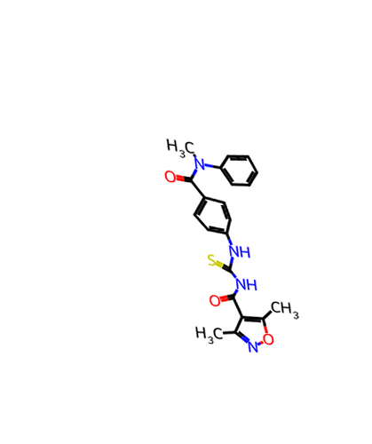 Cc1noc(C)c1C(=O)NC(=S)Nc1ccc(C(=O)N(C)c2ccccc2)cc1